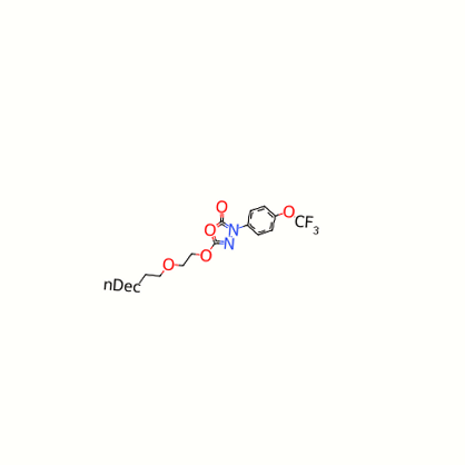 CCCCCCCCCCCCOCCOc1nn(-c2ccc(OC(F)(F)F)cc2)c(=O)o1